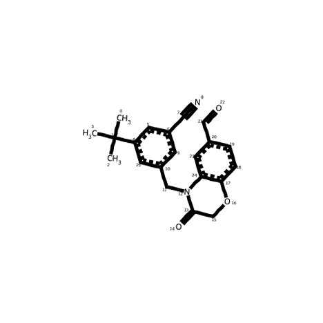 CC(C)(C)c1cc(C#N)cc(CN2C(=O)COc3ccc(C=O)cc32)c1